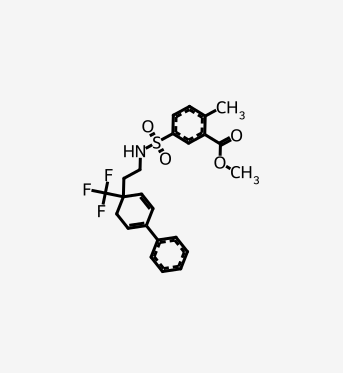 COC(=O)c1cc(S(=O)(=O)NCCC2(C(F)(F)F)C=CC(c3ccccc3)=CC2)ccc1C